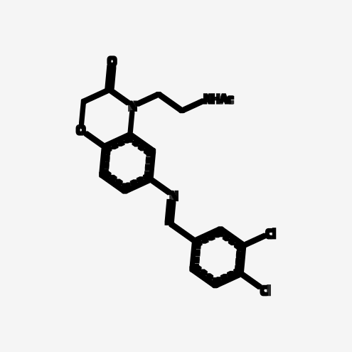 CC(=O)NCCN1C(=O)COc2ccc(N=Cc3ccc(Cl)c(Cl)c3)cc21